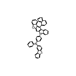 c1ccc(N(c2ccc(-n3c4ccccc4c4c(-c5cccc6ccccc56)c5c(cc43)oc3ccccc35)cc2)c2ccc3sc4ccccc4c3c2)cc1